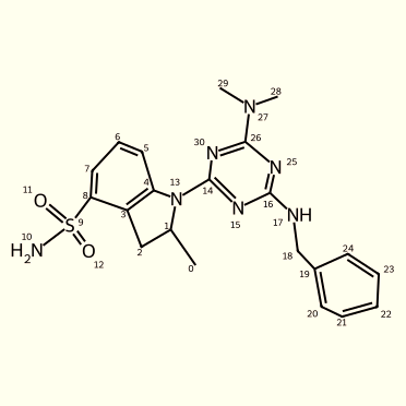 CC1Cc2c(cccc2S(N)(=O)=O)N1c1nc(NCc2ccccc2)nc(N(C)C)n1